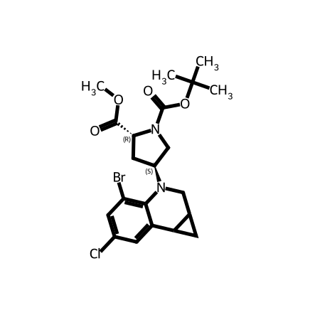 COC(=O)[C@H]1C[C@H](N2CC3CC3c3cc(Cl)cc(Br)c32)CN1C(=O)OC(C)(C)C